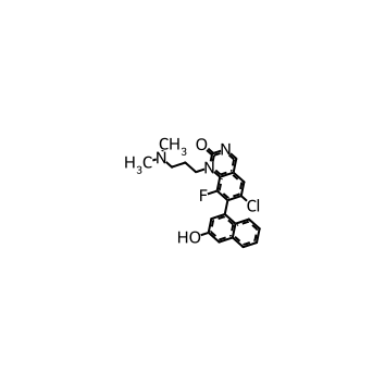 CN(C)CCCn1c(=O)ncc2cc(Cl)c(-c3cc(O)cc4ccccc34)c(F)c21